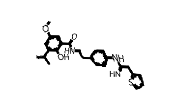 COc1cc(C(=O)NCCc2ccc(NC(=N)Cc3cccs3)cc2)c(O)c(C(C)C)c1